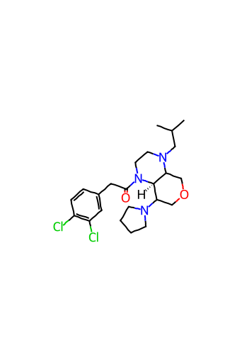 CC(C)CN1CCN(C(=O)Cc2ccc(Cl)c(Cl)c2)[C@@H]2C(N3CCCC3)COCC21